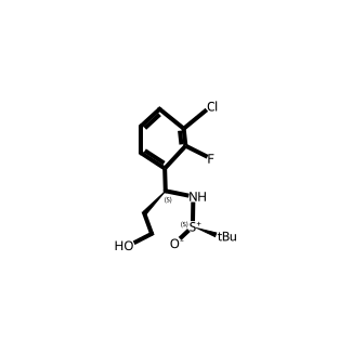 CC(C)(C)[S@@+]([O-])N[C@@H](CCO)c1cccc(Cl)c1F